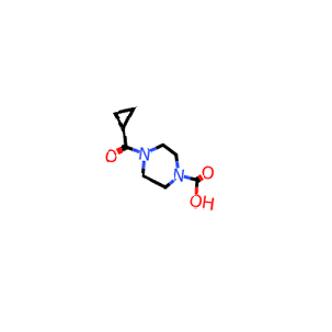 O=C(O)N1CCN(C(=O)C2CC2)CC1